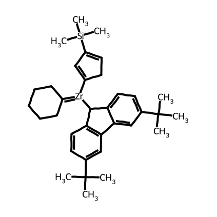 CC(C)(C)c1ccc2c(c1)-c1cc(C(C)(C)C)ccc1[CH]2[Zr]([C]1=CC([Si](C)(C)C)=CC1)=[C]1CCCCC1